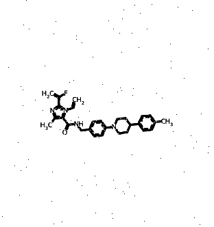 C=Cn1c(C(=C)F)nc(C)c1C(=O)NCc1ccc(N2CCC(c3ccc(C)cc3)CC2)cc1